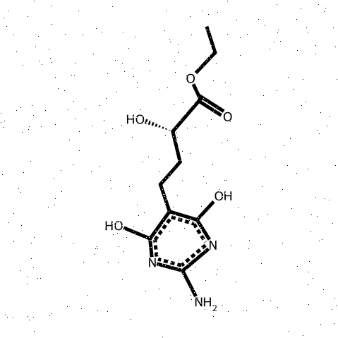 CCOC(=O)[C@@H](O)CCc1c(O)nc(N)nc1O